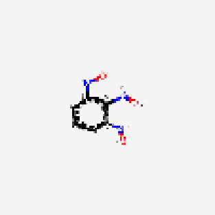 O=Nc1cccc(N=O)c1N=O